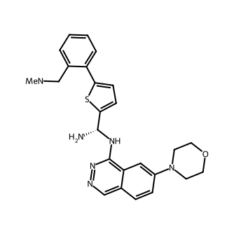 CNCc1ccccc1-c1ccc([C@@H](N)Nc2nncc3ccc(N4CCOCC4)cc23)s1